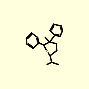 CC(C)C1[CH]C(c2ccccc2)C(C)(c2ccccc2)CC1